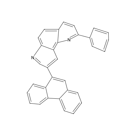 c1ccc(-c2ccc3ccc4ncc(-c5cc6ccccc6c6ccccc56)cc4c3n2)cc1